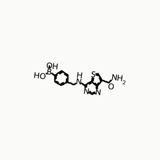 NC(=O)c1csc2c(NCc3ccc(B(O)O)cc3)ncnc12